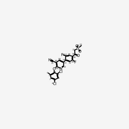 Cc1cc(Cl)cc(Cl)c1Oc1ncc(-c2cc(F)c(C(=O)CS(C)(=O)=O)cc2F)cc1C#N